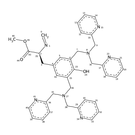 C=N[C@@H](Cc1cc(CN(Cc2ccccn2)Cc2ccccn2)c(O)c(CN(Cc2ccccn2)Cc2ccccn2)c1)C(=O)OC